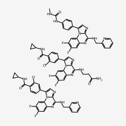 CNC(=O)Nc1ccc(-c2cnc3c(NCc4ccccn4)nc4cc(F)c(F)cc4n23)cc1.NC(=O)CCNc1nc2cc(F)c(F)cc2n2c(-c3ccc(C(=O)NC4CC4)c(Cl)c3)cnc12.O=C(NC1CC1)c1ccc(-c2cnc3c(NCc4cccnc4)nc4cc(F)c(F)cc4n23)cc1Cl